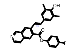 Cc1cc(/C=C/c2cc3cnccc3cc2C(=O)Oc2ccc(F)cc2)cc(C)c1O